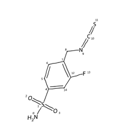 NS(=O)(=O)c1ccc(CN=C=S)c(F)c1